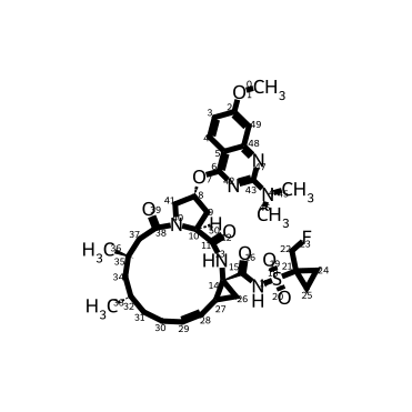 COc1ccc2c(O[C@@H]3C[C@H]4C(=O)N[C@]5(C(=O)NS(=O)(=O)C6(CF)CC6)CC5/C=C\CC[C@H](C)C[C@@H](C)CC(=O)N4C3)nc(N(C)C)nc2c1